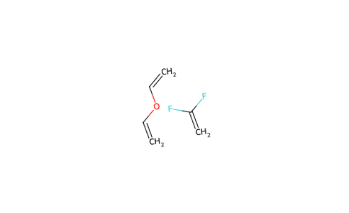 C=C(F)F.C=COC=C